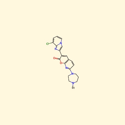 CCN1CCCN(c2ccc3cc(-c4cn5cccc(Cl)c5n4)c(=O)oc3n2)CC1